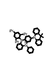 CC(C)c1cc(C(C)C)c(B2c3ccccc3[SiH](c3ccccc3)c3cc(N4c5ccccc5C(C)(C)c5ccccc54)ccc32)c(C(C)C)c1